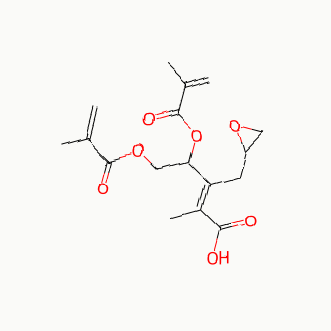 C=C(C)C(=O)OCC(OC(=O)C(=C)C)C(CC1CO1)=C(C)C(=O)O